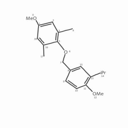 COc1cc(C)c(OCc2ccc(OC)c(C(C)C)c2)c(C)c1